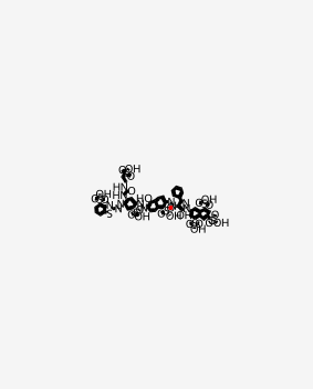 O=C(NCCS(=O)(=O)O)Nc1cc(N=Nc2ccc3c(S(=O)(=O)O)c(N=Nc4c(-c5ccccc5)nn(-c5cc(S(=O)(=O)O)c6cc(S(=O)(=O)O)cc(S(=O)(=O)O)c6c5)c4O)ccc3c2O)c(S(=O)(=O)O)cc1N=Nc1nc2c(S(=O)(=O)O)cccc2s1